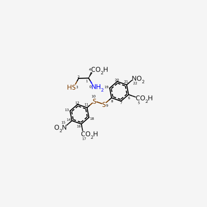 N[C@@H](CS)C(=O)O.O=C(O)c1cc(SSc2ccc([N+](=O)[O-])c(C(=O)O)c2)ccc1[N+](=O)[O-]